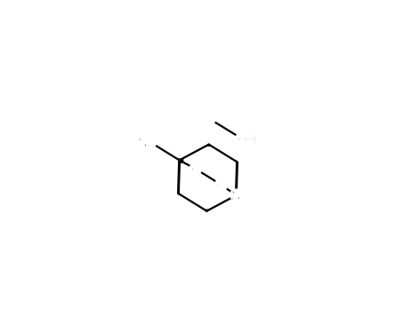 CO.[Na][C]12CCN(CC1)CC2